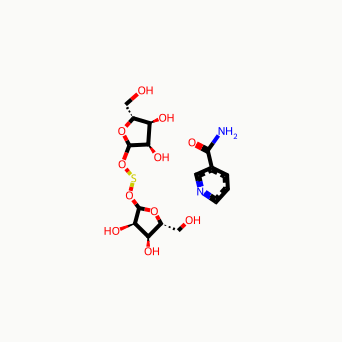 NC(=O)c1cccnc1.OC[C@H]1OC(OSOC2O[C@H](CO)[C@@H](O)[C@H]2O)[C@H](O)[C@@H]1O